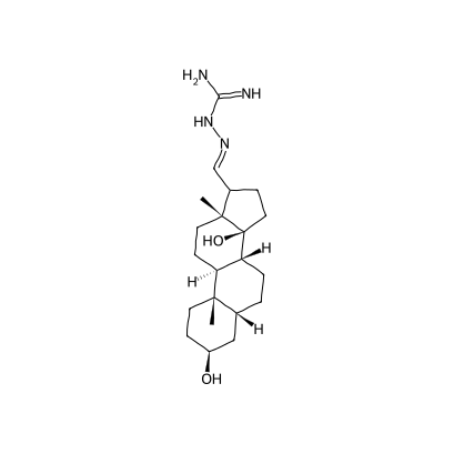 C[C@]12CC[C@H](O)C[C@H]1CC[C@@H]1[C@@H]2CC[C@]2(C)C(/C=N/NC(=N)N)CC[C@]12O